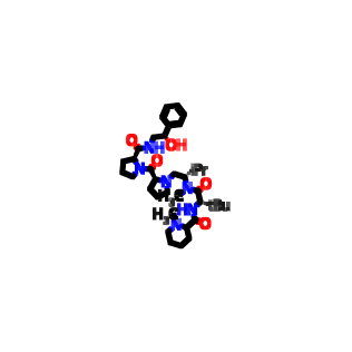 CC(C)[C@@H](CN1CCC[C@H]1C(=O)N1CCC[C@H]1C(=O)NC[C@@H](O)c1ccccc1)N(C)C(=O)[C@@H](NC(=O)C1CCCCN1C)C(C)(C)C